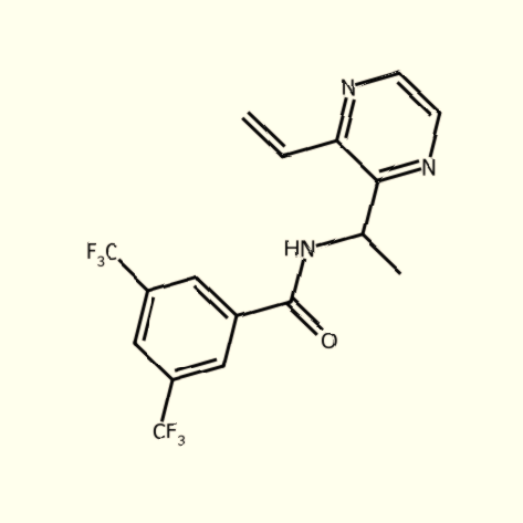 C=Cc1nccnc1C(C)NC(=O)c1cc(C(F)(F)F)cc(C(F)(F)F)c1